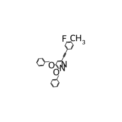 Cc1ccc(C#Cc2cc(OCc3ccccc3)c(OCc3ccccc3)nn2)cc1F